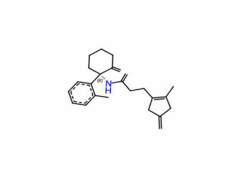 C=C1CC(C)=C(CCC(=C)N[C@]2(c3ccccc3C)CCCCC2=C)C1